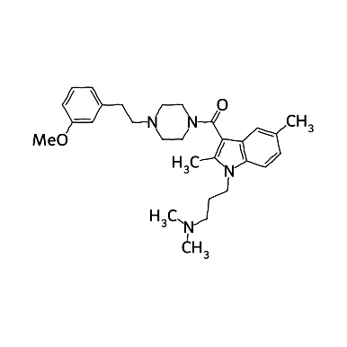 COc1cccc(CCN2CCN(C(=O)c3c(C)n(CCCN(C)C)c4ccc(C)cc34)CC2)c1